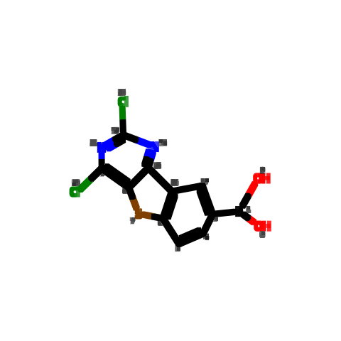 OB(O)c1ccc2sc3c(Cl)nc(Cl)nc3c2c1